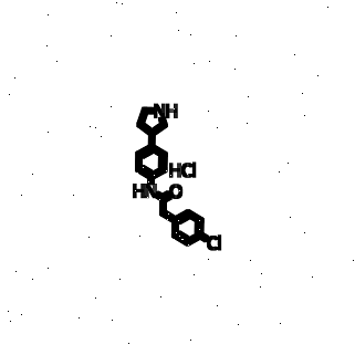 Cl.O=C(Cc1ccc(Cl)cc1)Nc1ccc(C2CCNC2)cc1